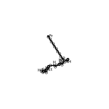 CCCOCCOCCOCCOCCOCCOCCOCCOCCOCCC(=O)N[C@@H](Cc1c[nH]c2ccccc12)C(=O)N[C@@H](C)C(=O)Nc1ccc(COC(=O)NCCCOc2ccc3nc4c(c(CC)c3c2)Cn2c-4cc3c(c2=O)COC(=O)[C@]3(O)CC)cc1